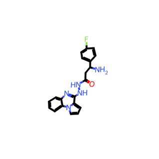 NC(CC(=O)NNc1nc2ccccc2n2cccc12)c1ccc(F)cc1